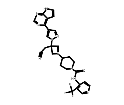 N#CCC1(n2cc(-c3ncnc4[nH]ccc34)cn2)CN(C2CCN(C(=O)Nc3ccncc3C(F)(F)F)CC2)C1